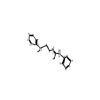 C/C(=N\CCN(C)c1ccccc1)Nc1ccccc1